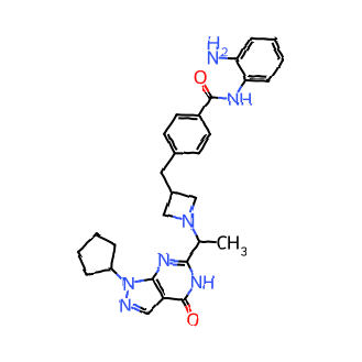 CC(c1nc2c(cnn2C2CCCC2)c(=O)[nH]1)N1CC(Cc2ccc(C(=O)Nc3ccccc3N)cc2)C1